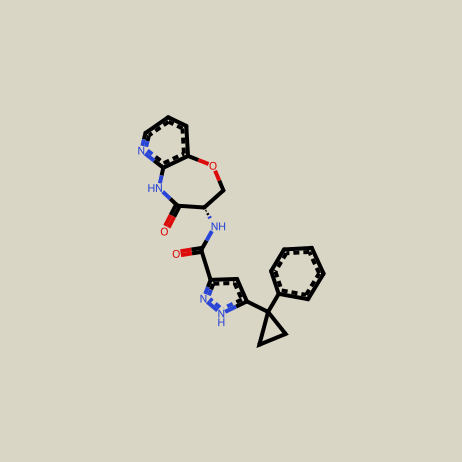 O=C(N[C@H]1COc2cccnc2NC1=O)c1cc(C2(c3ccccc3)CC2)[nH]n1